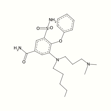 CCCCCN(CCCN(C)C)c1cc(C(N)=O)cc(S(N)(=O)=O)c1Oc1ccccc1